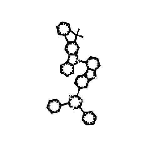 CC1(C)c2ccccc2-c2cc3c4ccccc4n(-c4cccc5oc6cc(-c7nc(-c8ccccc8)nc(-c8ccccc8)n7)ccc6c45)c3cc21